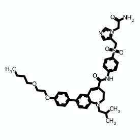 CCCCOCCOc1ccc(-c2ccc3c(c2)C=C(C(=O)Nc2ccc(S(=O)(=O)Cc4cncn4CC(N)=O)cc2)CCN3CC(C)C)cc1